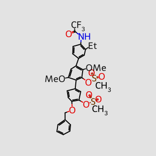 CCc1cc(-c2cc(OC)c(-c3ccc(OCc4ccccc4)c(OS(C)(=O)=O)c3)c(OS(C)(=O)=O)c2OC)ccc1NC(=O)C(F)(F)F